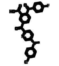 CN(c1ccc(Cl)cc1)c1ccc(C(=O)c2ccc(C(=O)c3ccc(F)cc3)c(C(=O)O)c2)nc1